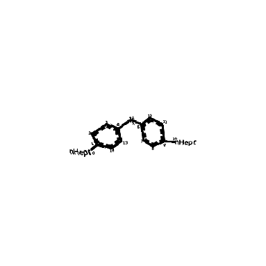 CCCCCCCc1ccc([I+]c2ccc(CCCCCCC)cc2)cc1